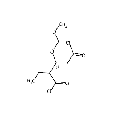 CCC(C(=O)Cl)[C@@H](CC(=O)Cl)OCOC